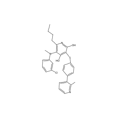 CCCCc1nc(O)c(Sc2ccc(-c3cccnc3C)cc2)c(O)c1N(C)c1cccc(Cl)c1